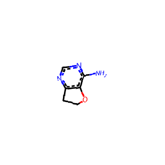 Nc1ncnc2c1OCC2